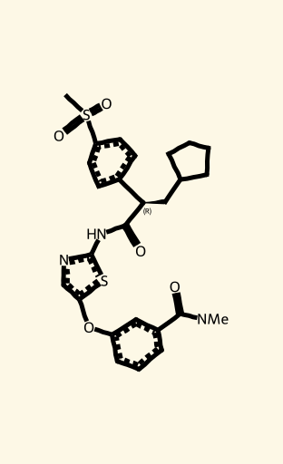 CNC(=O)c1cccc(Oc2cnc(NC(=O)[C@H](CC3CCCC3)c3ccc(S(C)(=O)=O)cc3)s2)c1